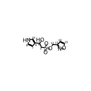 O=S(=O)(CC(O)c1cc[nH]c1)OCc1ccon1